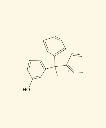 C=C/C(=C\C)C(C)(c1ccccc1)c1cccc(O)c1